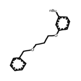 CCCCc1cccc(OCCCOCc2ccccc2)c1